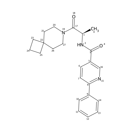 C[C@@H](NC(=O)c1ccc(-c2ccccc2)nc1)C(=O)N1CCC2(CCC2)CC1